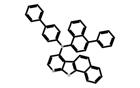 c1ccc(-c2ccc(N(c3ccc(-c4ccccc4)c4ccccc34)c3ccnc4oc5c6ccccc6ccc5c34)cc2)cc1